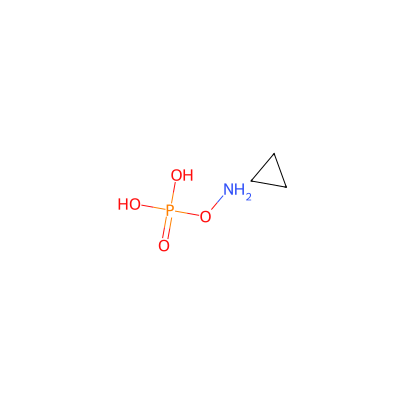 C1CC1.NOP(=O)(O)O